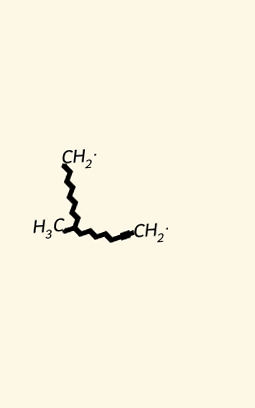 [CH2]C#CCCCCCC(CC)CCCCCCCC[CH2]